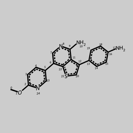 COc1ccc(-c2cnc(N)c3c(-c4ccc(N)cc4)csc23)cn1